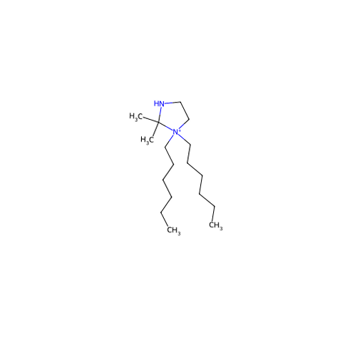 CCCCCC[N+]1(CCCCCC)CCNC1(C)C